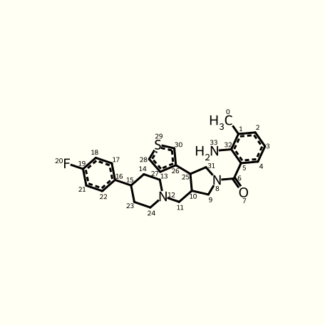 Cc1cccc(C(=O)N2CC(CN3CCC(c4ccc(F)cc4)CC3)C(c3ccsc3)C2)c1N